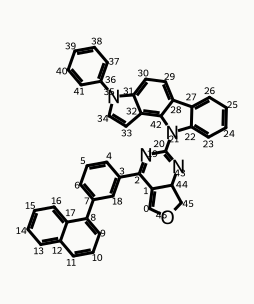 C1=C2C(c3cccc(-c4cccc5ccccc45)c3)=NC(n3c4ccccc4c4ccc5c(ccn5-c5ccccc5)c43)=NC2CO1